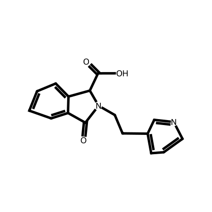 O=C(O)C1c2ccccc2C(=O)N1CCc1cccnc1